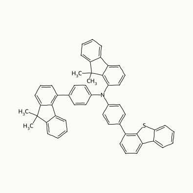 CC1(C)c2ccccc2-c2c(-c3ccc(N(c4ccc(-c5cccc6c5sc5ccccc56)cc4)c4cccc5c4C(C)(C)c4ccccc4-5)cc3)cccc21